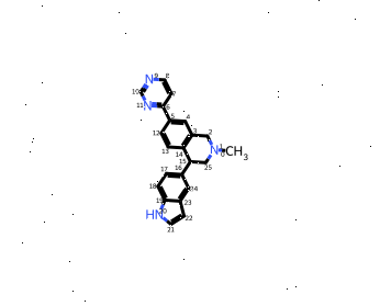 CN1Cc2cc(-c3ccncn3)ccc2C(c2ccc3[nH]ccc3c2)C1